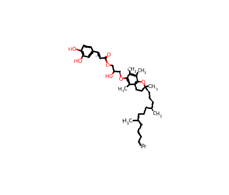 Cc1c(C)c2c(c(C)c1OCC(O)COC(=O)/C=C/c1ccc(O)c(O)c1)CCC(C)(CCCC(C)CCCC(C)CCCCC(C)C)O2